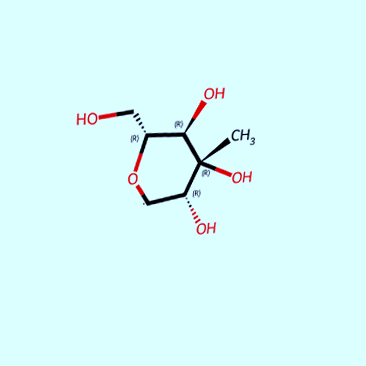 C[C@@]1(O)[C@H](O)[CH]O[C@H](CO)[C@H]1O